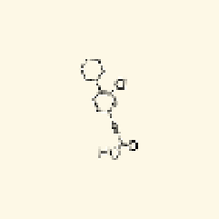 O=C(O)C#Cc1ccc(C2CCCCC2)c(Cl)c1